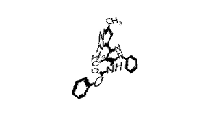 CC1=NN=C(c2nn(-c3ccccc3)c(NC(=O)Oc3ccccc3)c2C)C1